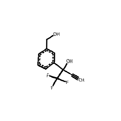 C#CC(O)(c1cccc(CO)c1)C(F)(F)F